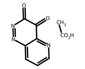 CC(=O)O.O=C1N=Nc2cccnc2C1=O